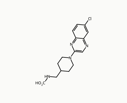 O=C(O)NCC1CCN(c2cnc3cc(Cl)ccc3n2)CC1